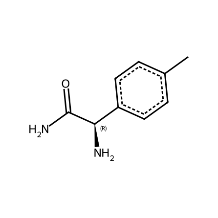 Cc1ccc([C@@H](N)C(N)=O)cc1